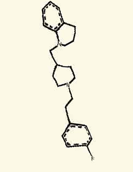 Fc1ccc(CCN2CCC(CN3CCc4ccccc43)CC2)cc1